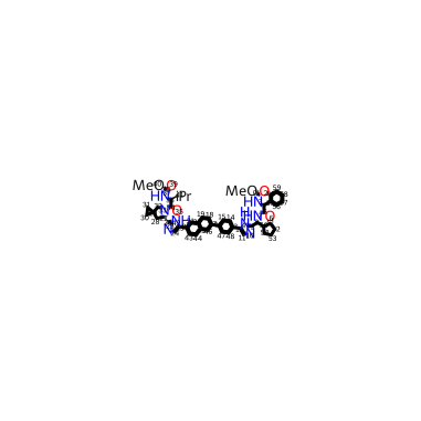 COC(=O)N[C@H](C(=O)N[C@H](c1ncc(-c2ccc(-c3ccc4cc(-c5cnc([C@@H]6CC7(CC7)CN6C(=O)[C@@H](NC(=O)OC)C(C)C)[nH]5)ccc4c3)cc2)[nH]1)C1CCCC1)c1ccccc1